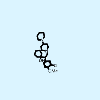 COc1ccc(C(CN2CCC(N3CCCCC3)CC2)C2(O)CCCCC2)cc1Cl